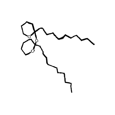 CCCCCCCCCCC1(OC2(CCCCCCCCCC)CCCCO2)CCCCO1